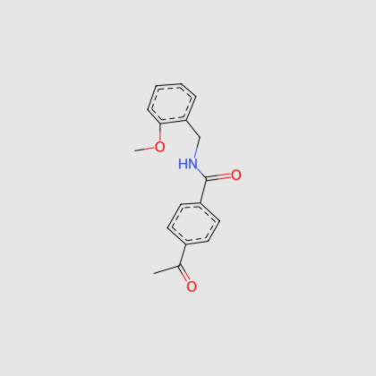 COc1ccccc1CNC(=O)c1ccc(C(C)=O)cc1